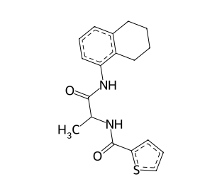 CC(NC(=O)c1cccs1)C(=O)Nc1cccc2c1CCCC2